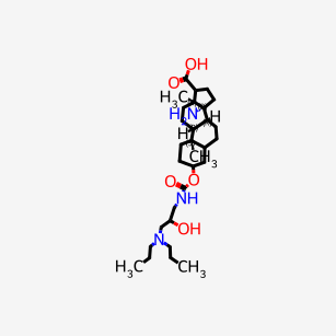 CCCN(CCC)CC(O)CNC(=O)OC1CC[C@@]2(C)C(CC[C@@H]3[C@H]2CC[C@]2(C)C(C(=O)O)CC[C@@]32N)C1